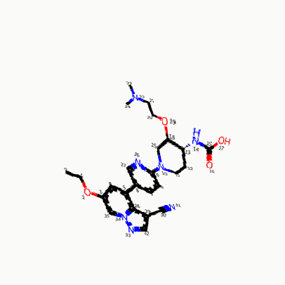 CCOc1cc(-c2ccc(N3CC[C@@H](NC(=O)O)[C@H](OCCN(C)C)C3)nc2)c2c(C#N)cnn2c1